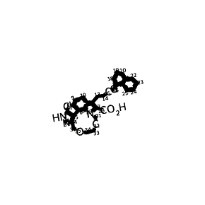 Cc1[nH]nc2c1-c1c(Cl)ccc3c(CCCOc4cccc5ccccc45)c(C(=O)O)n(c13)CCCCOC2